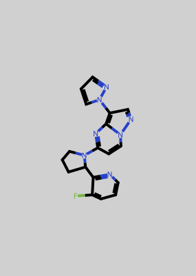 Fc1cccnc1C1CCCN1c1ccn2ncc(-n3cccn3)c2n1